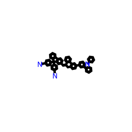 N#Cc1ccc(C2(c3ccc(C#N)cc3)c3ccccc3-c3ccc(/C=C4/Cc5ccc(-c6ccc7c(c6)c6ccccc6n7-c6ccccc6)cc5-c5ccccc54)cc32)cc1